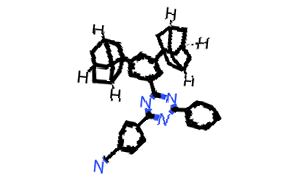 N#Cc1ccc(-c2nc(-c3ccccc3)nc(-c3cc(C45C[C@H]6C[C@H](C4)C[C@@H](C5)C6)cc(C45C[C@H]6C[C@H](C4)C[C@@H](C5)C6)c3)n2)cc1